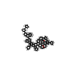 c1ccc(-c2cccc(-c3ccc4cc(-c5ccc(-c6nc(-c7ccccc7)nc(-c7cc(-c8ccccc8-c8ccc9ccccc9c8-c8ccccc8-c8ccccc8-c8nc(-c9ccccc9)nc(-c9cccc%10c9sc9ccccc9%10)n8)cc8c7sc7ccccc78)n6)c6ccccc56)c5ccccc5c4c3)c2)cc1